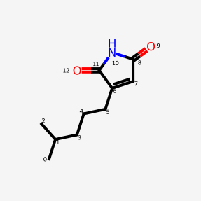 CC(C)CCCC1=CC(=O)NC1=O